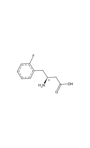 N[C@H](CC(=O)O)Cc1ccccc1F